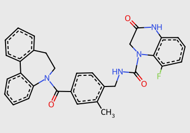 Cc1cc(C(=O)N2CCc3ccccc3-c3ccccc32)ccc1CNC(=O)N1CC(=O)Nc2cccc(F)c21